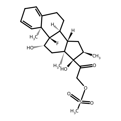 C[C@@H]1C[C@H]2[C@@H]3CCC4=CCC=C[C@]4(C)[C@@]3(F)[C@@H](O)C[C@]2(C)[C@@]1(O)C(=O)COS(C)(=O)=O